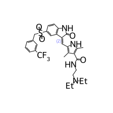 CCN(CC)CCNC(=O)c1c(C)[nH]c(/C=C2\C(=O)Nc3ccc(S(=O)(=O)Cc4cccc(C(F)(F)F)c4)cc32)c1C